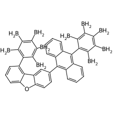 Bc1c(B)c(B)c(-c2c3ccccc3c(-c3ccc4oc5cccc(-c6c(B)c(B)c(B)c(B)c6B)c5c4c3)c3ccccc23)c(B)c1B